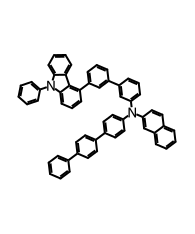 c1ccc(-c2ccc(-c3ccc(N(c4cccc(-c5cccc(-c6cccc7c6c6ccccc6n7-c6ccccc6)c5)c4)c4ccc5ccccc5c4)cc3)cc2)cc1